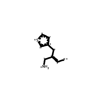 NC/C(=C/F)Cc1ccsc1